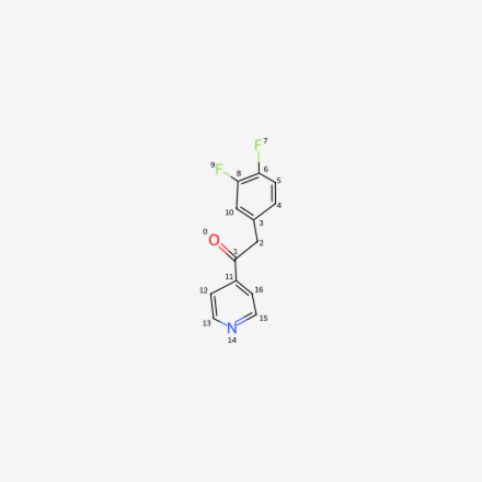 O=C(Cc1ccc(F)c(F)c1)c1ccncc1